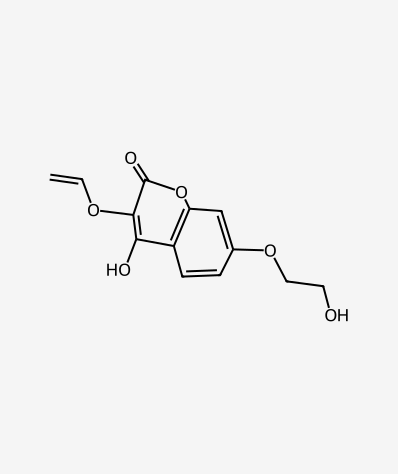 C=COc1c(O)c2ccc(OCCO)cc2oc1=O